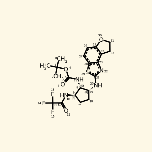 CC(C)(C)OC(=O)N[C@H]1[C@H](NC(=O)C(F)(F)F)CC[C@H]1Nc1nc2c3c(ccc2s1)OCC3